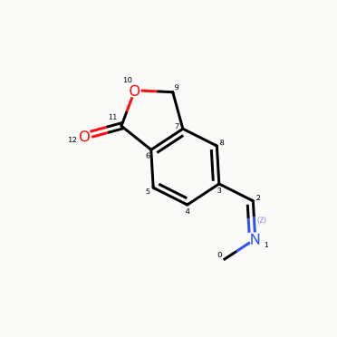 C/N=C\c1ccc2c(c1)COC2=O